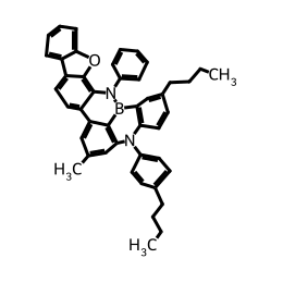 CCCCc1ccc(N2c3ccc(CCCC)cc3B3c4c(cc(C)cc42)-c2ccc4c(oc5ccccc54)c2N3c2ccccc2)cc1